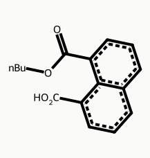 CCCCOC(=O)c1cccc2cccc(C(=O)O)c12